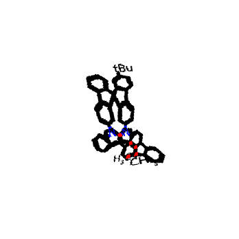 CC(C)(C)c1ccc2c(c1)C1(c3ccccc3-c3ccc(N(c4ccccc4)c4ccccc4)cc31)c1cc(N(c3ccc4c(c3)C(C)(C)c3ccccc3-4)c3ccccc3-c3ccccc3)ccc1-2